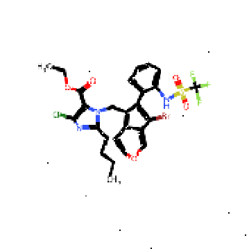 CCCCc1nc(Cl)c(C(=O)OCC)n1Cc1c2ccocc-2c(Br)c1-c1ccccc1NS(=O)(=O)C(F)(F)F